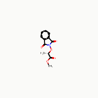 BOC(=O)[C@H](C)ON1C(=O)c2ccccc2C1=O